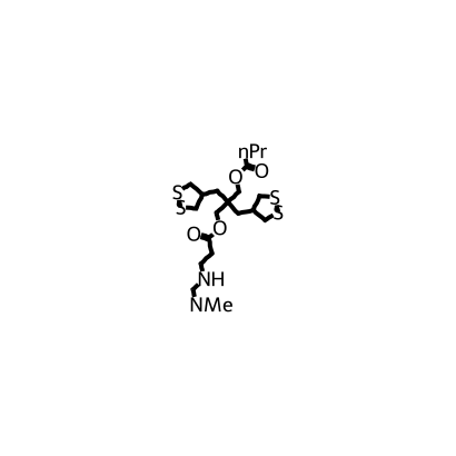 CCCC(=O)OCC(COC(=O)CCNCNC)(CC1CSSC1)CC1CSSC1